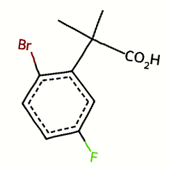 CC(C)(C(=O)O)c1cc(F)ccc1Br